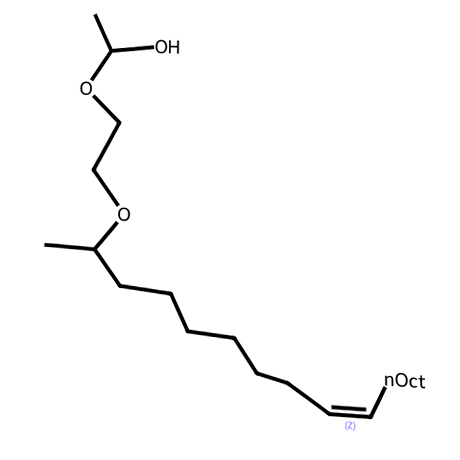 CCCCCCCC/C=C\CCCCCCC(C)OCCOC(C)O